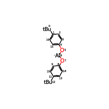 CC(C)(C)c1ccc([O][Al][O]c2ccc(C(C)(C)C)cc2)cc1